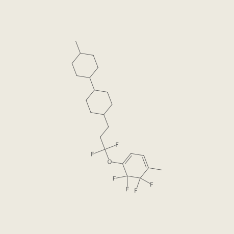 CC1=CC=C(OC(F)(F)CCC2CCC(C3CCC(C)CC3)CC2)C(F)(F)C1(F)F